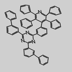 c1ccc(-c2cccc(-c3nc(-c4cccc(-c5ccccc5)c4)nc(-c4cccc(-c5c(-c6ccccc6)c(-c6ccccc6)nc(-c6ccccc6)c5-c5ccccc5)c4)n3)c2)cc1